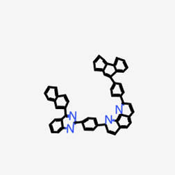 c1ccc2cc(-c3nc(-c4ccc(-c5ccc6ccc7ccc(-c8ccc(-c9cc%10ccccc%10c%10ccccc9%10)cc8)nc7c6n5)cc4)nc4ccccc34)ccc2c1